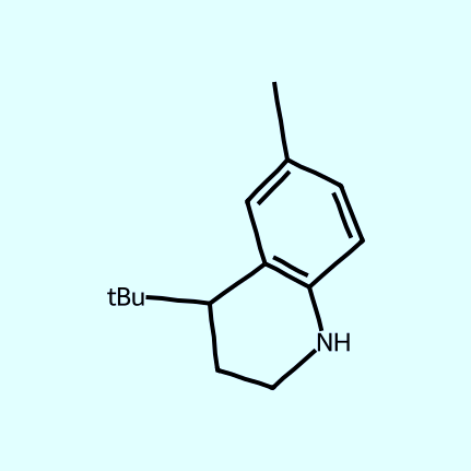 Cc1ccc2c(c1)C(C(C)(C)C)CCN2